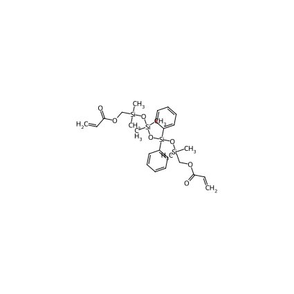 C=CC(=O)OC[Si](C)(C)O[Si](C)(C)O[Si](O[Si](C)(C)COC(=O)C=C)(c1ccccc1)c1ccccc1